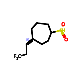 O=[SH](=O)C1CCC/C(=C/CC(F)(F)F)CC1